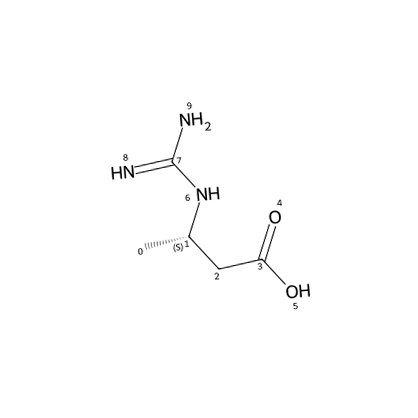 C[C@@H](CC(=O)O)NC(=N)N